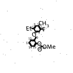 CCc1cc(C)c(F)cc1OCc1ccccc1OC(=O)OC